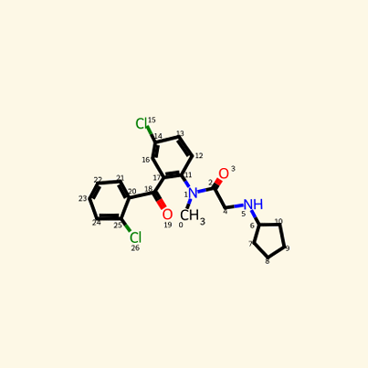 CN(C(=O)CNC1CCCC1)c1ccc(Cl)cc1C(=O)c1ccccc1Cl